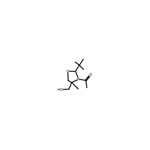 CC(=O)N1C(C(C)(C)C)OCC1(C)CO